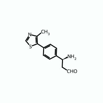 Cc1ncsc1-c1ccc([C@@H](N)CC=O)cc1